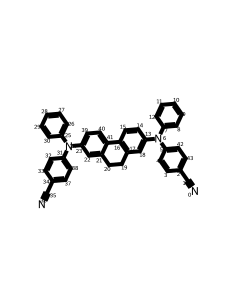 N#Cc1ccc(N(c2ccccc2)c2ccc3c(c2)CCc2cc(N(c4ccccc4)c4ccc(C#N)cc4)ccc2-3)cc1